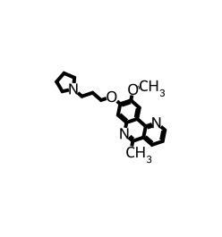 COc1cc2c(cc1OCCCN1CCCC1)nc(C)c1cccnc12